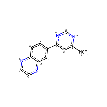 FC(F)(F)Nc1cc(-c2ccc3nccnc3c2)ncn1